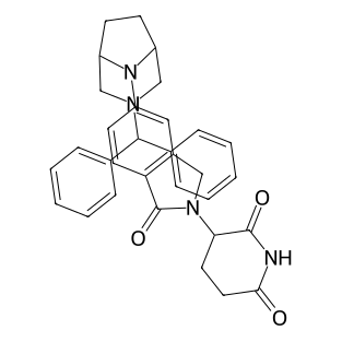 O=C1CCC(N2Cc3cc(N4C5CCC4CN(C(c4ccccc4)c4ccccc4)C5)ccc3C2=O)C(=O)N1